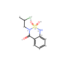 CC(Cl)CN1C(=O)c2ccccc2NS1(=O)=O